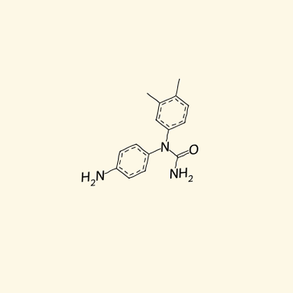 Cc1ccc(N(C(N)=O)c2ccc(N)cc2)cc1C